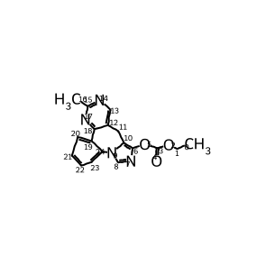 CCOC(=O)Oc1ncn2c1Cc1cnc(C)nc1-c1ccccc1-2